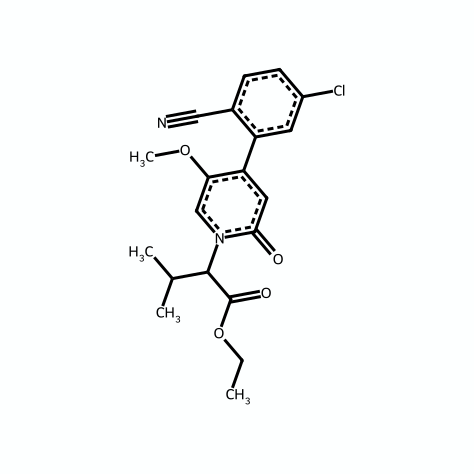 CCOC(=O)C(C(C)C)n1cc(OC)c(-c2cc(Cl)ccc2C#N)cc1=O